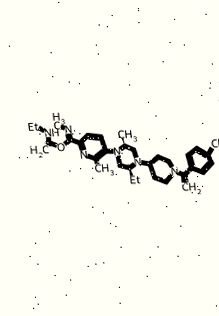 C=C(NCC)O/C(=N\C)c1ccc(N2C[C@H](CC)N(C3CCN(C(=C)c4ccc(Cl)cc4)CC3)C[C@H]2C)c(C)n1